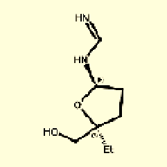 CC[C@@]1(CO)CC[C@H](NC=N)O1